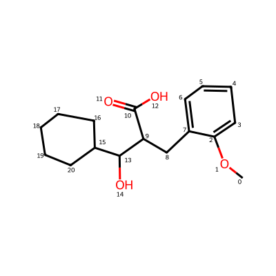 COc1ccccc1CC(C(=O)O)C(O)C1CCCCC1